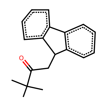 CC(C)(C)C(=O)CC1c2ccccc2-c2ccccc21